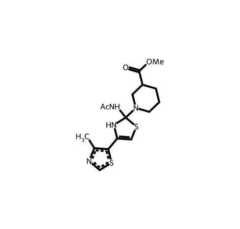 COC(=O)C1CCCN(C2(NC(C)=O)NC(c3scnc3C)=CS2)C1